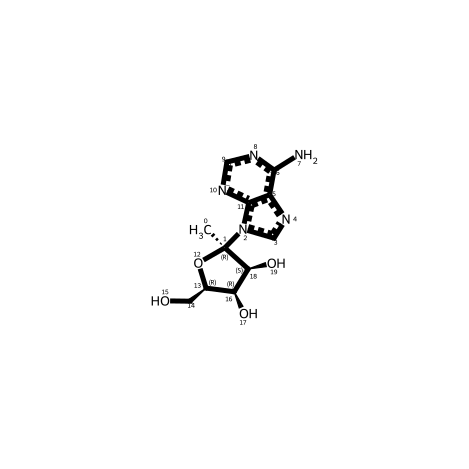 C[C@@]1(n2cnc3c(N)ncnc32)O[C@H](CO)[C@H](O)[C@@H]1O